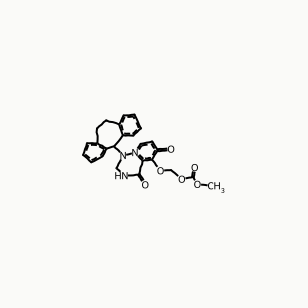 COC(=O)OCOc1c2n(ccc1=O)N(C1c3ccccc3CCc3ccccc31)CNC2=O